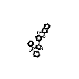 O=P(c1ccccc1)(c1ccccc1)c1cncc(-c2ccc3c(c2)Oc2cc4ccccc4cc2O3)c1